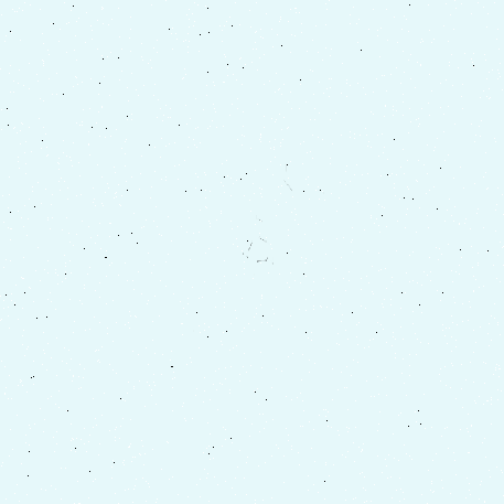 CCCCCCCSc1ncc(C(=O)OCCC(C)=C(F)F)c(C)n1